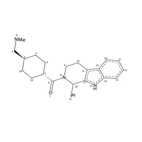 CNC[C@H]1CC[C@H](C(=O)N2CCc3c([nH]c4ccccc34)C2C(C)C)CC1